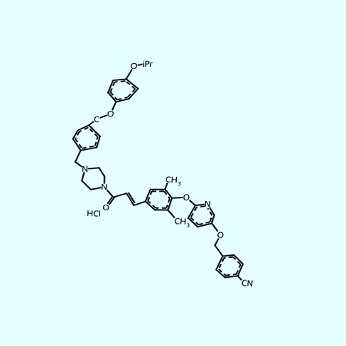 Cc1cc(/C=C/C(=O)N2CCN(Cc3ccc(COc4ccc(OC(C)C)cc4)cc3)CC2)cc(C)c1Oc1ccc(OCc2ccc(C#N)cc2)cn1.Cl